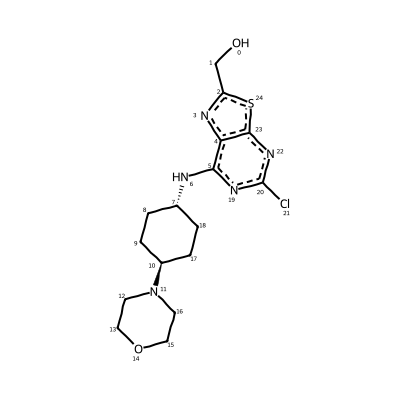 OCc1nc2c(N[C@H]3CC[C@H](N4CCOCC4)CC3)nc(Cl)nc2s1